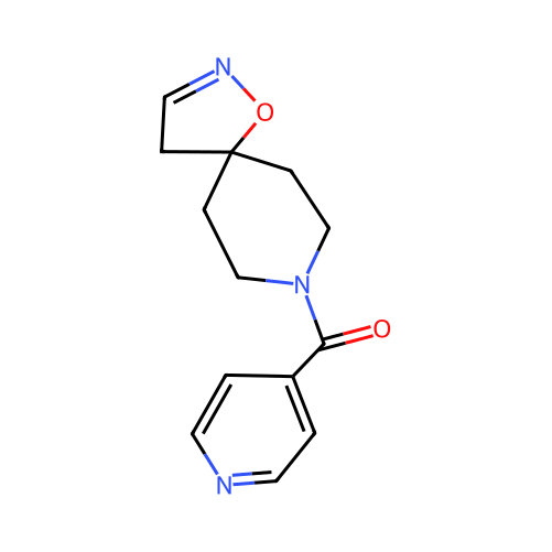 O=C(c1ccncc1)N1CCC2(CC=NO2)CC1